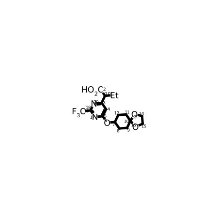 CCC(C(=O)O)c1cc(OC2CCC3(CC2)OCCO3)nc(C(F)(F)F)n1